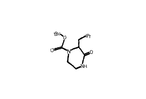 CC(C)CC1C(=O)NCCN1C(=O)OC(C)(C)C